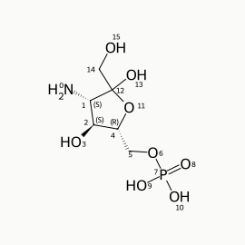 N[C@H]1[C@H](O)[C@@H](COP(=O)(O)O)OC1(O)CO